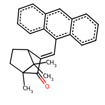 CC12CCC(C(=Cc3c4ccccc4cc4ccccc34)C1=O)C2(C)C